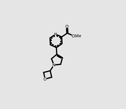 COC(=O)c1cc(C2=CCN(C3COC3)C2)ccn1